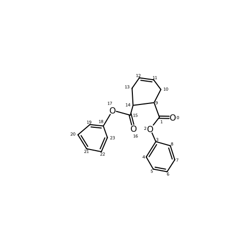 O=C(Oc1ccccc1)C1CC=CCC1C(=O)Oc1ccccc1